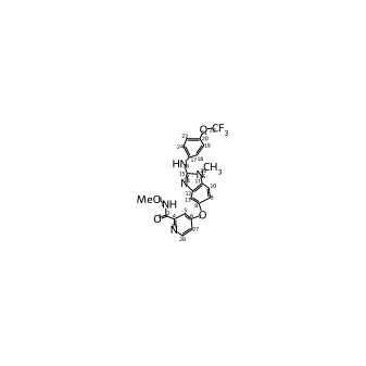 CONC(=O)c1cc(Oc2ccc3c(c2)nc(Nc2ccc(OC(F)(F)F)cc2)n3C)ccn1